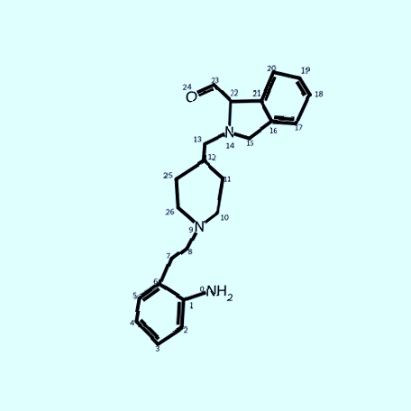 Nc1ccccc1CCN1CCC(CN2Cc3ccccc3C2C=O)CC1